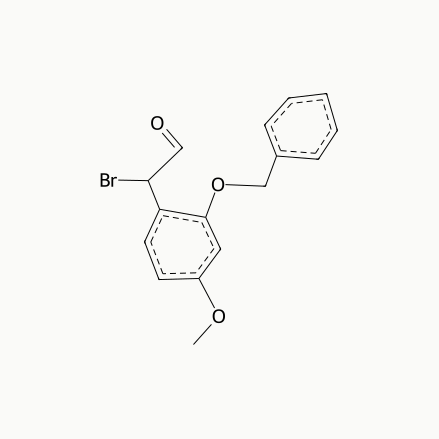 COc1ccc(C(Br)C=O)c(OCc2ccccc2)c1